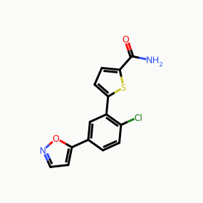 NC(=O)c1ccc(-c2cc(-c3ccno3)ccc2Cl)s1